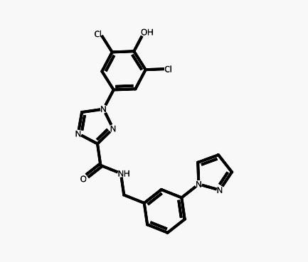 O=C(NCc1cccc(-n2cccn2)c1)c1ncn(-c2cc(Cl)c(O)c(Cl)c2)n1